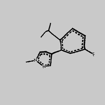 CC(C)c1ccc(F)cc1-c1cnn(C)c1